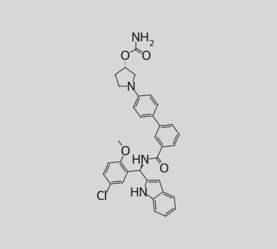 COc1ccc(Cl)cc1[C@@H](NC(=O)c1cccc(-c2ccc(N3CC[C@H](OC(N)=O)C3)cc2)c1)c1cc2ccccc2[nH]1